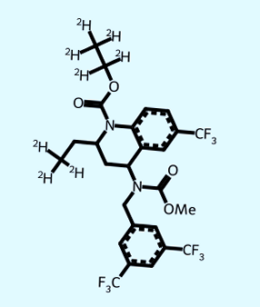 [2H]C([2H])([2H])CC1CC(N(Cc2cc(C(F)(F)F)cc(C(F)(F)F)c2)C(=O)OC)c2cc(C(F)(F)F)ccc2N1C(=O)OC([2H])([2H])C([2H])([2H])[2H]